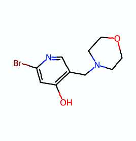 Oc1cc(Br)ncc1CN1CCOCC1